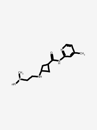 CCCN(C)CCNC1CC(C(=O)Nc2cc(C)ccn2)C1